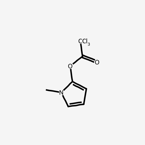 Cn1cccc1OC(=O)C(Cl)(Cl)Cl